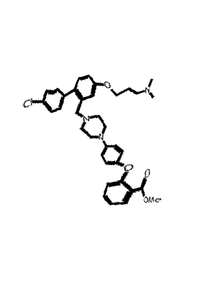 COC(=O)c1ccccc1Oc1ccc(N2CCN(Cc3cc(OCCCN(C)C)ccc3-c3ccc(Cl)cc3)CC2)cc1